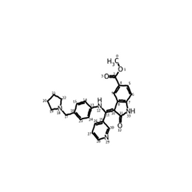 COC(=O)c1ccc2c(c1)C(=C(Nc1ccc(CN3CCCC3)cc1)c1cccnc1)C(=O)N2